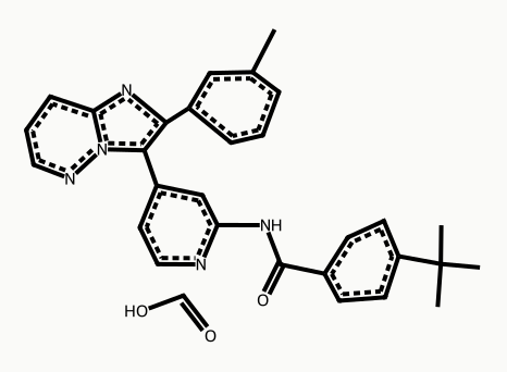 Cc1cccc(-c2nc3cccnn3c2-c2ccnc(NC(=O)c3ccc(C(C)(C)C)cc3)c2)c1.O=CO